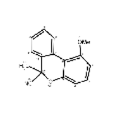 COc1cccc2c1-c1ccccc1C(C)(C#N)O2